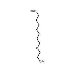 CCCCCCCCCCCCOCCOCCOC(C)=O